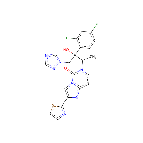 CC(n1ccc2nc(-c3nccs3)cn2c1=O)C(O)(Cn1cncn1)c1ccc(F)cc1F